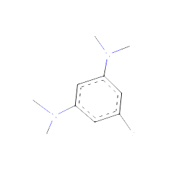 CC(=O)c1cc(N(C)C)cc(N(C)C)c1